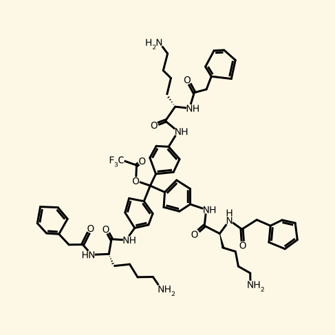 NCCCC[C@H](NC(=O)Cc1ccccc1)C(=O)Nc1ccc(C(OC(=O)C(F)(F)F)(c2ccc(NC(=O)[C@H](CCCCN)NC(=O)Cc3ccccc3)cc2)c2ccc(NC(=O)[C@H](CCCCN)NC(=O)Cc3ccccc3)cc2)cc1